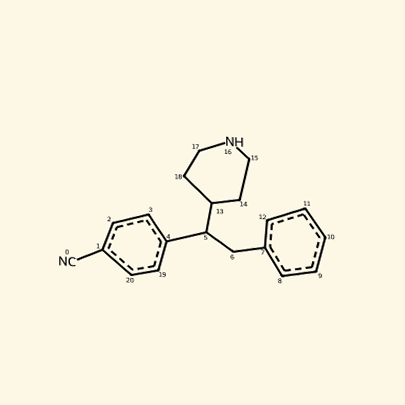 N#Cc1ccc(C(Cc2ccccc2)C2CCNCC2)cc1